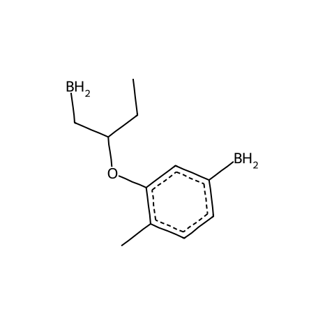 BCC(CC)Oc1cc(B)ccc1C